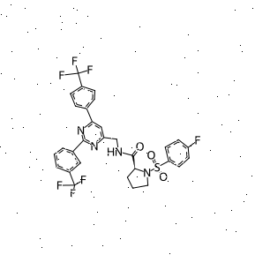 O=C(NCc1cc(-c2ccc(C(F)(F)F)cc2)nc(-c2cccc(C(F)(F)F)c2)n1)[C@@H]1CCCN1S(=O)(=O)c1ccc(F)cc1